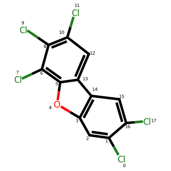 Clc1cc2oc3c(Cl)c(Cl)c(Cl)cc3c2cc1Cl